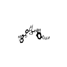 COc1cccc(NC(=O)Nc2cccc(C(=O)c3c[nH]c4ncccc34)c2)c1